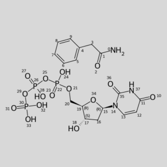 NC(=O)Cc1ccccc1.O=c1ccn([C@H]2C[C@H](O)[C@@H](COP(=O)(O)OP(=O)(O)OP(=O)(O)O)O2)c(=O)[nH]1